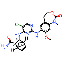 COc1cc2c(cc1Nc1ncc(Cl)c(N[C@@H]3[C@H](C(N)=O)[C@H]4C=C[C@@H]3C4)n1)CCOC(=O)N2C